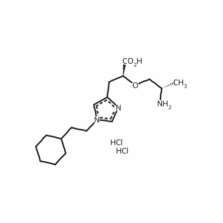 C[C@H](N)CO[C@@H](Cc1cn(CCC2CCCCC2)cn1)C(=O)O.Cl.Cl